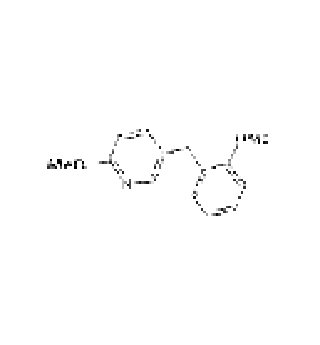 COc1ccc(Cc2ccccc2OC)cn1